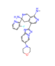 CNc1ncc(-c2nc3ccc(N4CCOCC4)cn3n2)c2c1C=NC(N)(c1ncccc1F)C2